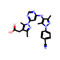 Cc1nn(-c2cc(Nc3c(C)nn(-c4ccc(C#N)cc4)c3C)ncn2)c(C)c1CC(=O)O